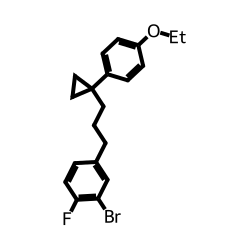 CCOc1ccc(C2(CCCc3ccc(F)c(Br)c3)CC2)cc1